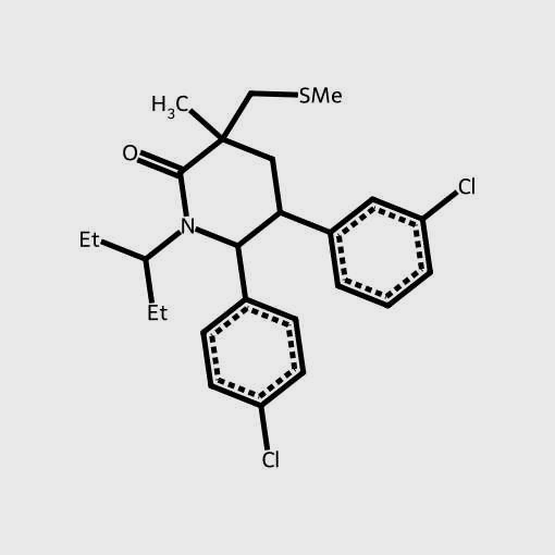 CCC(CC)N1C(=O)C(C)(CSC)CC(c2cccc(Cl)c2)C1c1ccc(Cl)cc1